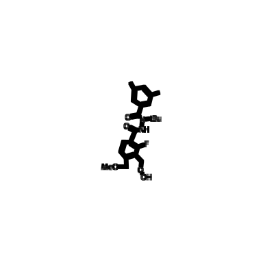 COCc1ccc(C(=O)NN(C(=O)c2cc(C)cc(C)c2)C(C)(C)C)c(F)c1COO